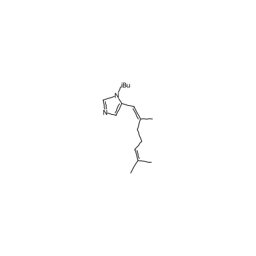 CCC(C)n1cncc1C=C(C)CCC=C(C)C